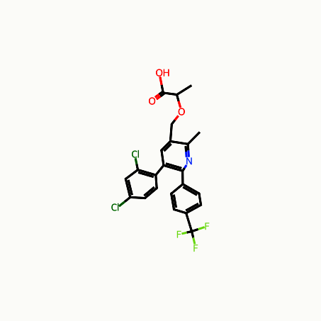 Cc1nc(-c2ccc(C(F)(F)F)cc2)c(-c2ccc(Cl)cc2Cl)cc1COC(C)C(=O)O